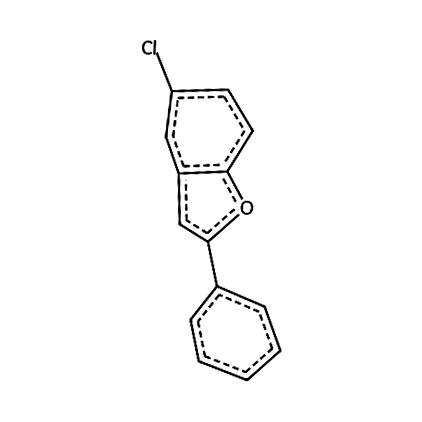 Clc1ccc2oc(-c3ccccc3)cc2c1